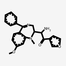 COc1ccc2c(c1)N(C)C(C(N)C(=O)c1ccoc1)CN=C2c1ccccc1